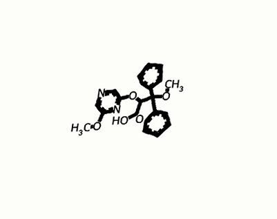 COc1cncc(OC(C(=O)O)C(OC)(c2ccccc2)c2ccccc2)n1